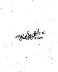 CO/N=C(/C(=O)NC1C(=O)N2C(C(=O)O)=C(COC(N)=O)CS[C@H]12)c1csc(NC=O)n1